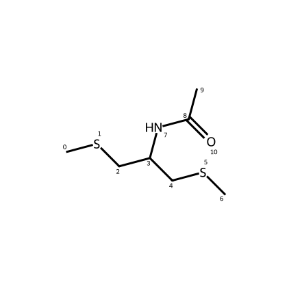 CSCC(CSC)NC(C)=O